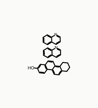 Oc1ccc2c(ccc3c4c(ccc32)CCCC4)c1.c1ccc2ncccc2c1.c1ccc2ncccc2c1